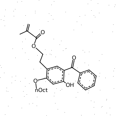 C=C(C)C(=O)OCCc1cc(C(=O)c2ccccc2)c(O)cc1OCCCCCCCC